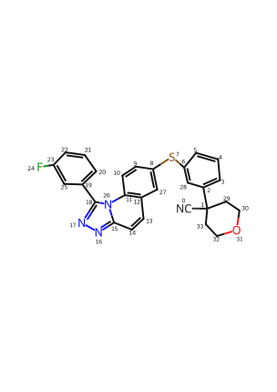 N#CC1(c2cccc(Sc3ccc4c(ccc5nnc(-c6cccc(F)c6)n54)c3)c2)CCOCC1